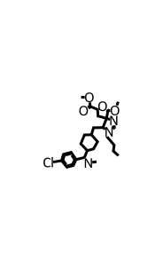 CCCCN1C=NC(CCC(=O)OC)(C(=O)OC)C1CC1CCC(C(c2ccc(Cl)cc2)N(C)C)CC1